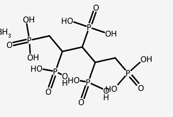 B.O=P(O)(O)CC(C(C(CP(=O)(O)O)P(=O)(O)O)P(=O)(O)O)P(=O)(O)O